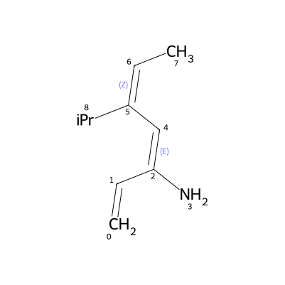 C=C/C(N)=C\C(=C/C)C(C)C